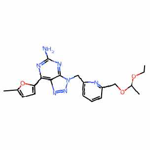 CCOC(C)OCc1cccc(Cn2nnc3c(-c4ccc(C)o4)nc(N)nc32)n1